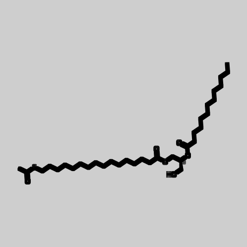 CCCCCCCCCCCCC(=O)O[C@@H](CO)COC(=O)CCCCCCCCCCCCCCCSC(C)=O